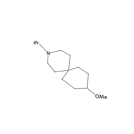 COC1CCC2(CC1)CCN(C(C)C)CC2